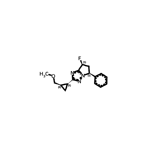 COC[C@@H]1C[C@H]1c1nc2n(n1)[C@H](c1ccccc1)C[C@@H]2F